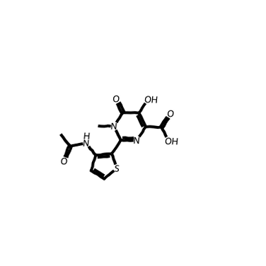 CC(=O)Nc1ccsc1-c1nc(C(=O)O)c(O)c(=O)n1C